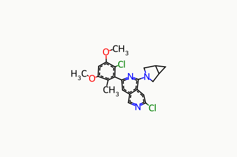 COc1cc(OC)c(Cl)c(-c2cc3cnc(Cl)cc3c(N3CC4CC4C3)n2)c1C